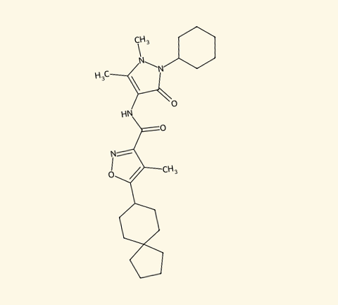 Cc1c(C(=O)Nc2c(C)n(C)n(C3CCCCC3)c2=O)noc1C1CCC2(CCCC2)CC1